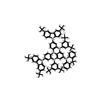 CC(C)(C)c1cc(N2c3cc(-n4c5ccc(C(C)(C)C)cc5c5cc(C(C)(C)C)ccc54)ccc3B3c4ccc(-n5c6ccc(C(C)(C)C)cc6c6cc(C(C)(C)C)ccc65)cc4N(c4cc(C(C)(C)C)cc(C(C)(C)C)c4)c4cc(N5c6ccccc6C(C)(C)c6ccccc65)cc2c43)cc(C(C)(C)C)c1